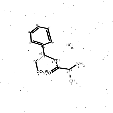 C[C@@H](N)C(=O)N[C@H](CC(=O)O)c1ccccc1.Cl